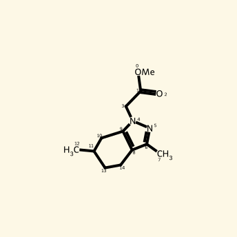 COC(=O)Cn1nc(C)c2c1CC(C)CC2